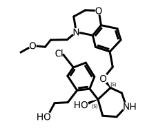 COCCCN1CCOc2ccc(CO[C@H]3CNCC[C@]3(O)c3ccc(Cl)cc3CCO)cc21